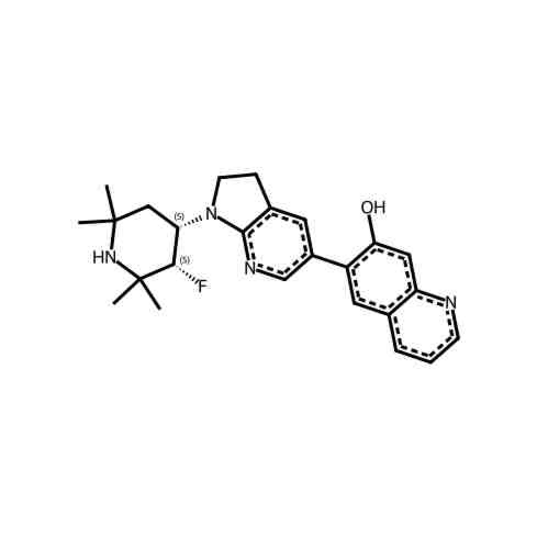 CC1(C)C[C@H](N2CCc3cc(-c4cc5cccnc5cc4O)cnc32)[C@H](F)C(C)(C)N1